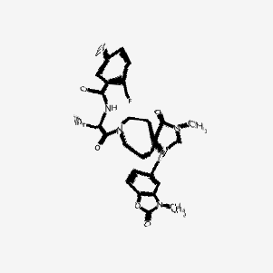 CCc1ccc(F)c(C(=O)NC(C(=O)N2CCC3(CC2)C(=O)N(C)CN3c2ccc3oc(=O)n(C)c3c2)C(C)C)c1